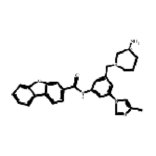 Cc1cn(-c2cc(CN3CCC[C@H](N)C3)cc(NC(=O)c3ccc4c(c3)oc3ccccc34)c2)cn1